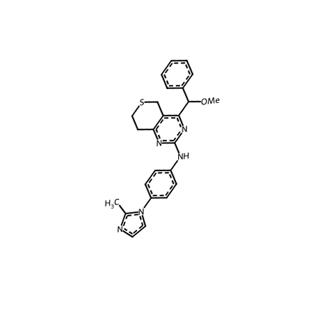 COC(c1ccccc1)c1nc(Nc2ccc(-n3ccnc3C)cc2)nc2c1CSCC2